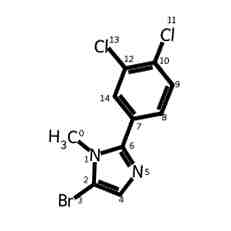 Cn1c(Br)cnc1-c1ccc(Cl)c(Cl)c1